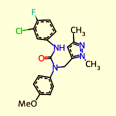 COc1ccc(N(Cc2cc(C)nn2C)C(=O)Nc2ccc(F)c(Cl)c2)cc1